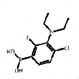 CCN(CC)c1c(Cl)ccc(B(O)O)c1F